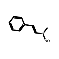 CN(C=Cc1ccccc1)N=O